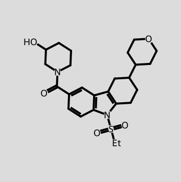 CCS(=O)(=O)n1c2c(c3cc(C(=O)N4CCCC(O)C4)ccc31)CC(C1CCOCC1)CC2